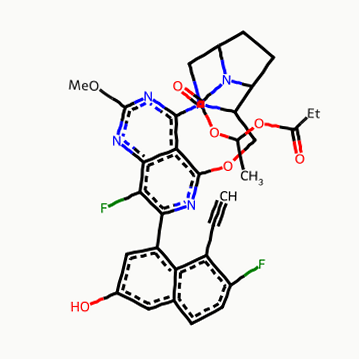 C#Cc1c(F)ccc2cc(O)cc(-c3nc4c5c(nc(OC)nc5c3F)N3CC5CCC(C3CO4)N5C(=O)OC(C)OC(=O)CC)c12